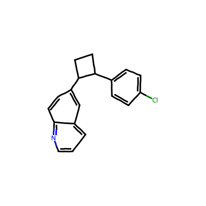 Clc1ccc(C2CCC2c2ccc3ncccc3c2)cc1